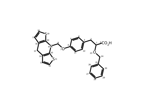 O=C(O)C(Cc1ccc(OCN2c3sccc3Cc3ccsc32)cc1)OCc1ccccc1